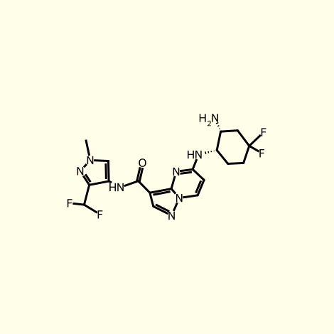 Cn1cc(NC(=O)c2cnn3ccc(N[C@H]4CCC(F)(F)C[C@H]4N)nc23)c(C(F)F)n1